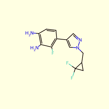 Nc1ccc(-c2cnn(CC3CC3(F)F)c2)c(F)c1N